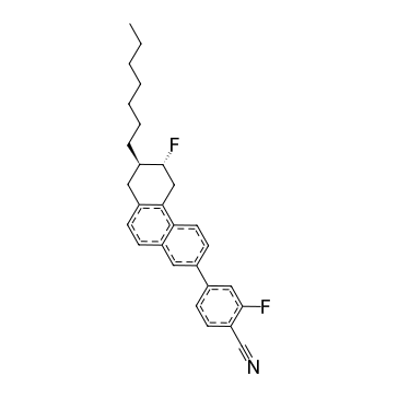 CCCCCCC[C@@H]1Cc2ccc3cc(-c4ccc(C#N)c(F)c4)ccc3c2C[C@H]1F